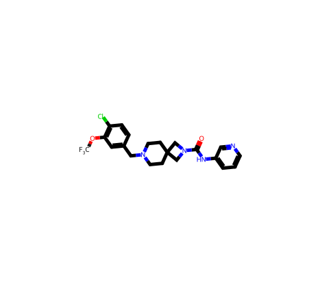 O=C(Nc1cccnc1)N1CC2(CCN(Cc3ccc(Cl)c(OC(F)(F)F)c3)CC2)C1